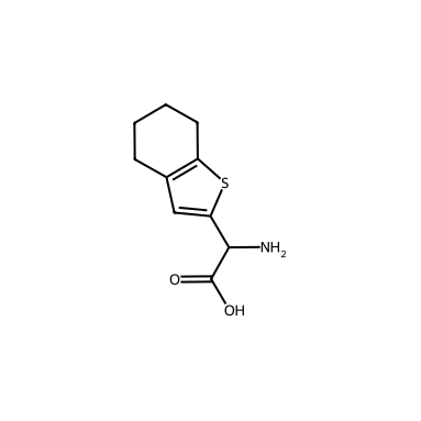 NC(C(=O)O)c1cc2c(s1)CCCC2